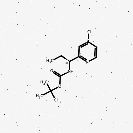 C[CH][C@H](NC(=O)OC(C)(C)C)c1cc(Cl)ccn1